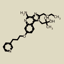 CCOCc1nc2c(N)nc3cc(OCCCc4cccnc4)ccc3c2n1CC(C)(C)O